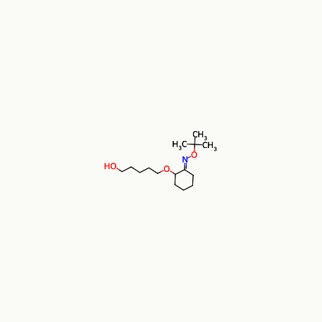 CC(C)(C)ON=C1CCCCC1OCCCCCO